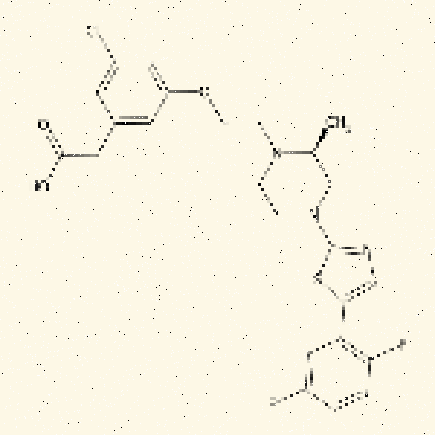 C[C@H]1CN(c2ncc(-c3cc(F)ccc3F)s2)CCN1CCOc1cc(Cl)cc(CC(=O)O)c1